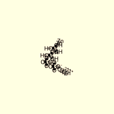 O=[As]([O-])([O-])[O-].O=[As]([O-])([O-])[O-].O[As](O)O.O[As](O)O.[Cu+2].[Cu+2].[Cu+2].[Zn].[Zn].[Zn]